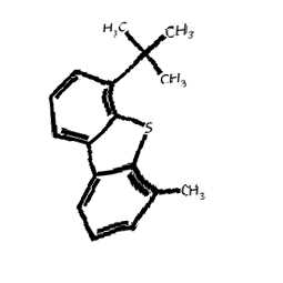 Cc1cccc2c1sc1c(C(C)(C)C)cccc12